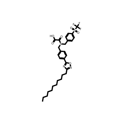 CCCCCCCCCCCc1noc(-c2ccc(CN(Cc3ccc(S(=O)(=O)C(F)(F)F)cc3)C(=O)C(=O)O)cc2)n1